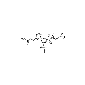 CN(C[C@H]1CO1)S(=O)(=O)c1cc(-c2cccc(CCC(=O)O)c2)cc(C(F)(F)F)c1